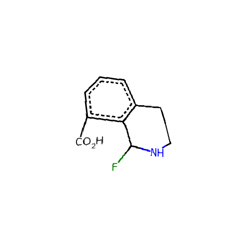 O=C(O)c1cccc2c1C(F)NCC2